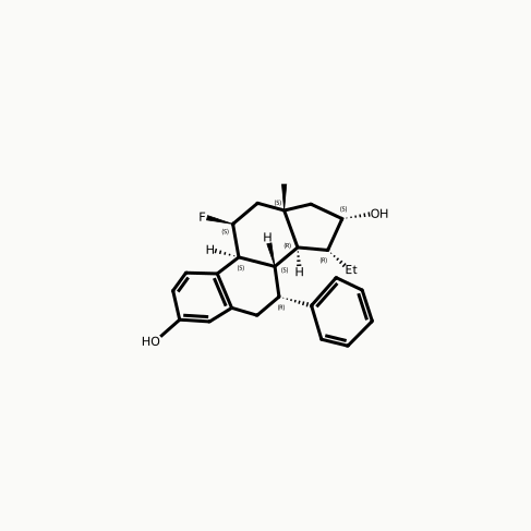 CC[C@@H]1[C@H]2[C@H]3[C@@H](c4ccc(O)cc4C[C@H]3c3ccccc3)[C@@H](F)C[C@]2(C)C[C@@H]1O